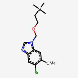 COc1cc2c(cc1Br)ncn2COCC[Si](C)(C)C